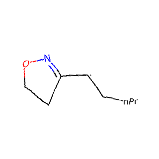 CCCC[CH]C1=NOCC1